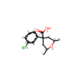 CC1CC(C(=O)O)(c2cccc(Br)c2)CC(C)O1